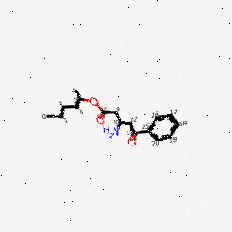 CCCCC(C)OC(=O)CC(N)CC(=O)c1ccccc1